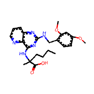 CCCCC(C)(Nc1nc(NCc2ccc(OC)cc2OC)nc2cccnc12)C(=O)O